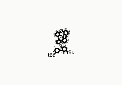 CC(C)(C)c1ccc2c(c1)c1cc(C(C)(C)C)ccc1n2-c1ccc(-c2cccc3c2-n2c4ccccc4c4cccc(c42)O3)cc1